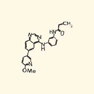 C=CC(=O)Nc1cccc(Nc2ncnc3ccc(-c4ccc(OC)nc4)cc23)c1